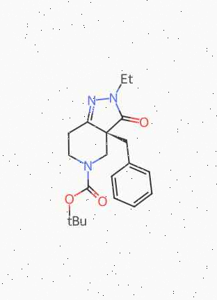 CCN1N=C2CCN(C(=O)OC(C)(C)C)C[C@@]2(Cc2ccccc2)C1=O